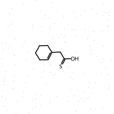 OC(=S)CC1=CCCCC1